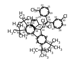 CC(C)(C)c1cc2c(cc1C(C)(C)C)[CH]([Zr]([Cl])([Cl])(=[C](c1cccc(Cl)c1)c1cccc(Cl)c1)[CH]1C=CC=C1)c1cc(C(C)(C)C)c(C(C)(C)C)cc1-2